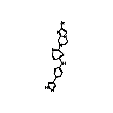 CC(=O)c1cn2c(n1)CN(c1nccc(Nc3ccc(-c4cn[nH]c4)cc3)n1)CC2